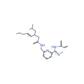 C=CC(=C)N/C(=N\C)c1cccc(CNC(=C)CC(/C=C/CCC)CC(C)C)n1